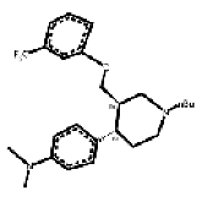 CCCCN1CC[C@H](c2ccc(N(C)C)cc2)[C@@H](COc2cccc(C(F)(F)F)c2)C1